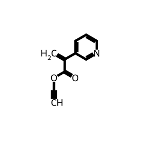 C#COC(=O)C(=C)c1cccnc1